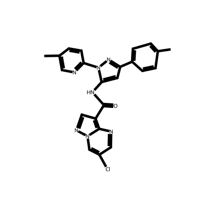 Cc1ccc(-c2cc(NC(=O)c3cnn4cc(Cl)cnc34)n(-c3ccc(C)cn3)n2)cc1